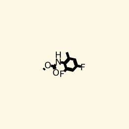 COC(=O)Nc1c(C)cc(F)cc1F